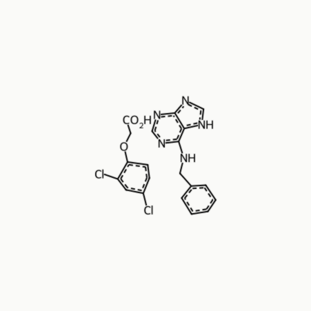 O=C(O)COc1ccc(Cl)cc1Cl.c1ccc(CNc2ncnc3nc[nH]c23)cc1